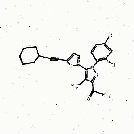 Cc1c(C(N)=O)nn(-c2ccc(Cl)cc2Cl)c1-c1ccc(C#CC2CCCCC2)s1